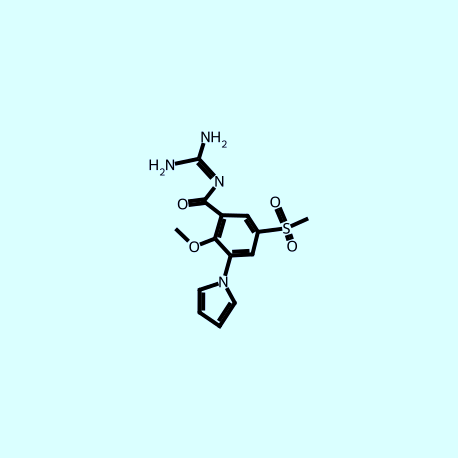 COc1c(C(=O)N=C(N)N)cc(S(C)(=O)=O)cc1-n1cccc1